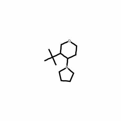 CC(C)(C)C1COCCC1N1CCCC1